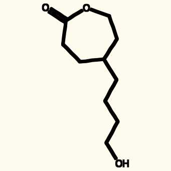 O=C1CCC(CCCCO)CCO1